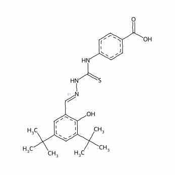 CC(C)(C)c1cc(/C=N/NC(=S)Nc2ccc(C(=O)O)cc2)c(O)c(C(C)(C)C)c1